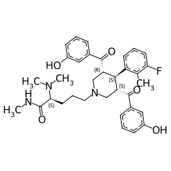 CNC(=O)[C@H](CCCN1C[C@H](C(=O)c2cccc(O)c2)[C@@H](c2cccc(F)c2C)[C@H](C(=O)c2cccc(O)c2)C1)N(C)C